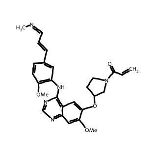 C=CC(=O)N1CCC(Oc2cc3c(Nc4cc(/C=C/C=N\C)ccc4OC)ncnc3cc2OC)C1